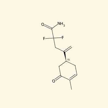 C=C(CC(F)(F)C(N)=O)[C@H]1CC=C(C)C(=O)C1